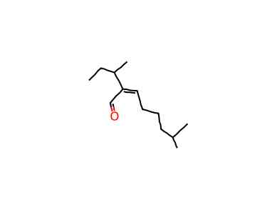 CCC(C)C(C=O)=CCCCC(C)C